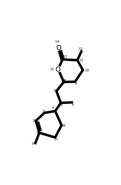 CC1=CCC(C(C)CC2CCC(C)C(=O)O2)CC1